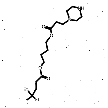 CCC(C)(CC)CCC(=O)OCCCCOC(=O)CCN1CCNCC1